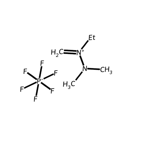 C=[N+](CC)N(C)C.F[P-](F)(F)(F)(F)F